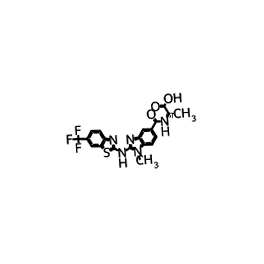 C[C@H](NC(=O)c1ccc2c(c1)nc(Nc1nc3ccc(C(F)(F)F)cc3s1)n2C)C(=O)O